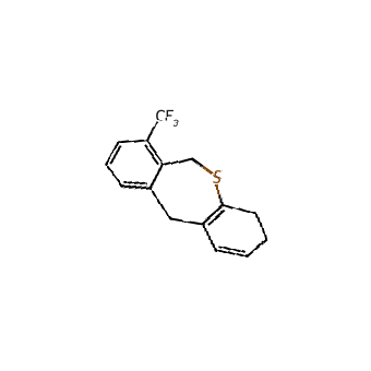 FC(F)(F)c1cccc2c1CSC1=C(C=CCC1)C2